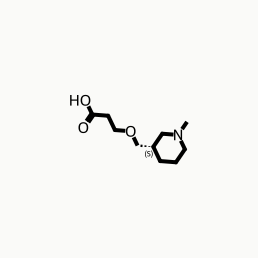 CN1CCC[C@H](COCCC(=O)O)C1